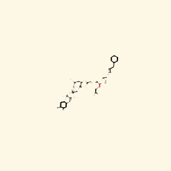 NC(=O)CCC(NC(=O)CNC(=O)/C=C/c1ccccc1)C(=O)NCC(=O)NC(CC(N)=O)C(=O)NCC(=O)NC(Cc1ccc(Cl)c(Cl)c1)C(N)=O